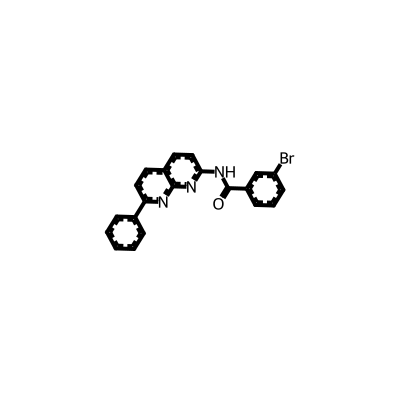 O=C(Nc1ccc2ccc(-c3ccccc3)nc2n1)c1cccc(Br)c1